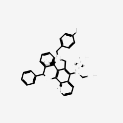 CCN(c1c2c(c(OC(c3ccccc3)c3ccccc3)c3ncccc13)C(=O)N(Cc1ccc(F)cc1)C2)S(C)(=O)=O